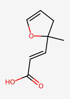 CC1(C=CC(=O)O)CC=CO1